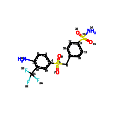 Nc1ccc(S(=O)(=O)Cc2ccc(S(N)(=O)=O)cc2)cc1C(F)(F)F